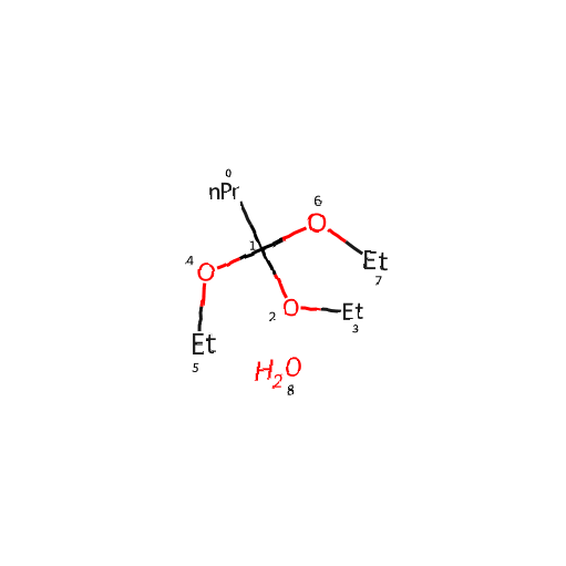 CCCC(OCC)(OCC)OCC.O